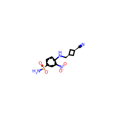 N#C[C@H]1C[C@@H](CNc2ccc(S(N)(=O)=O)cc2[N+](=O)[O-])C1